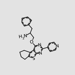 NC(COc1nc(-c2ccncc2)nc2sc3c(c12)CCCC3)Cc1ccccc1